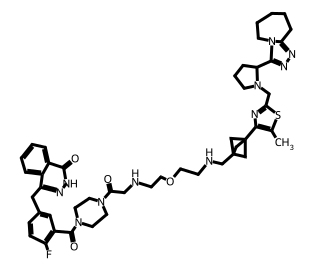 Cc1sc(CN2CCCC2c2nnc3n2CCCCC3)nc1C12CC(CNCCOCCNCC(=O)N3CCN(C(=O)c4cc(Cc5n[nH]c(=O)c6ccccc56)ccc4F)CC3)(C1)C2